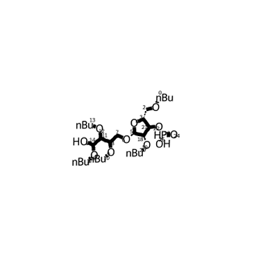 CCCCOC[C@H]1O[C@@H](OCC(OCCCC)C(OCCCC)C(O)OCCCC)[C@@H](OCCCC)C1O[PH](=O)O